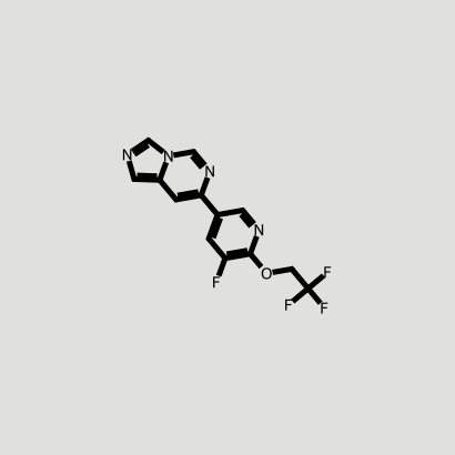 Fc1cc(-c2cc3cncn3cn2)cnc1OCC(F)(F)F